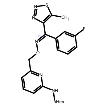 CCCCCCNc1cccc(CO/N=C(\c2cccc(F)c2)c2nnsc2C)n1